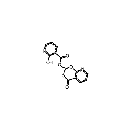 O=C(OB1OC(=O)c2cccnc2O1)c1cccnc1O